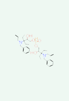 C=CCN(Cc1ccccc1)C(CC)(CC)C(O)CO[PH](=O)OCC(O)C(CC)(CC)N(CC=C)Cc1ccccc1